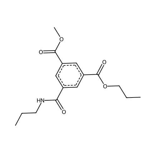 CCCNC(=O)c1cc(C(=O)OC)cc(C(=O)OCCC)c1